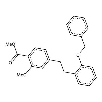 COC(=O)c1ccc(CCc2ccccc2OCc2ccccc2)cc1OC